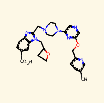 N#Cc1ccc(COc2cncc(N3CCN(Cc4nc5ccc(C(=O)O)cc5n4CC4CCO4)CC3)n2)nc1